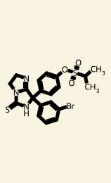 CC(C)S(=O)(=O)Oc1ccc(C2(c3cccc(Br)c3)NC(=S)N3CCN=C32)cc1